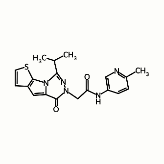 Cc1ccc(NC(=O)Cn2nc(C(C)C)n3c(cc4ccsc43)c2=O)cn1